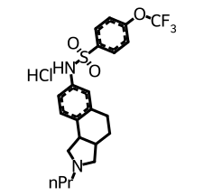 CCCN1CC2CCc3cc(NS(=O)(=O)c4ccc(OC(F)(F)F)cc4)ccc3C2C1.Cl